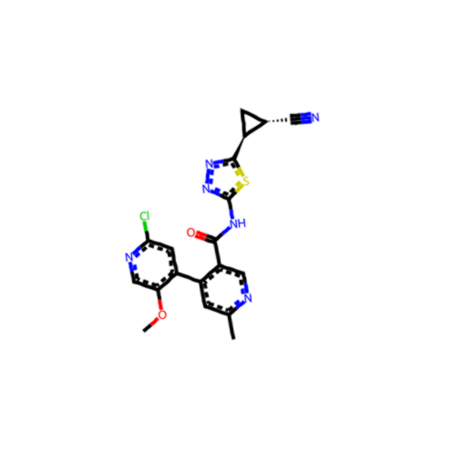 COc1cnc(Cl)cc1-c1cc(C)ncc1C(=O)Nc1nnc([C@H]2C[C@@H]2C#N)s1